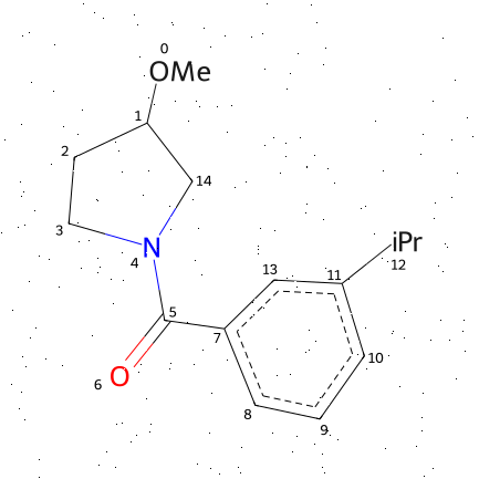 COC1CCN(C(=O)c2cccc(C(C)C)c2)C1